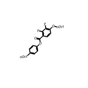 CCCCCCCCOc1ccc(C(=O)Oc2ccc(CCCCCCCC)cc2)c(F)c1F